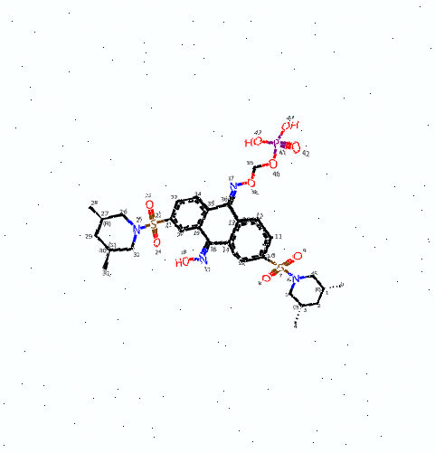 C[C@@H]1C[C@H](C)CN(S(=O)(=O)c2ccc3c(c2)C(=NO)c2cc(S(=O)(=O)N4C[C@H](C)C[C@H](C)C4)ccc2C3=NOCOP(=O)(O)O)C1